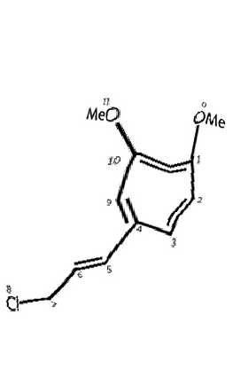 COc1ccc(C=CCCl)cc1OC